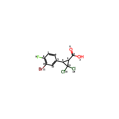 O=C(O)C1C(c2ccc(F)c(Br)c2)C1(Cl)Cl